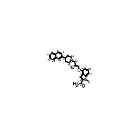 CNC(=O)c1cc2c(OC[C@@H](O)CN3CCC(c4ccc5ccccc5c4)CC3)cccc2n1C